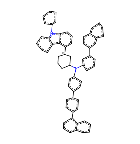 c1ccc(-n2c3ccccc3c3c([C@@H]4CCCC(N(c5ccc(-c6ccc(-c7cccc8ccccc78)cc6)cc5)c5cccc(-c6ccc7ccccc7c6)c5)C4)cccc32)cc1